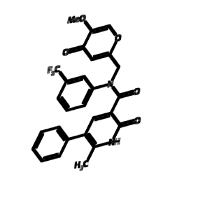 COc1coc(CN(C(=O)c2cc(-c3ccccc3)c(C)[nH]c2=O)c2cccc(C(F)(F)F)c2)cc1=O